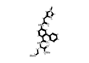 COC(=O)[C@H](CCSC)NC(=O)c1ccc(NC(=O)Cc2cn(C)cn2)cc1-c1ccccc1